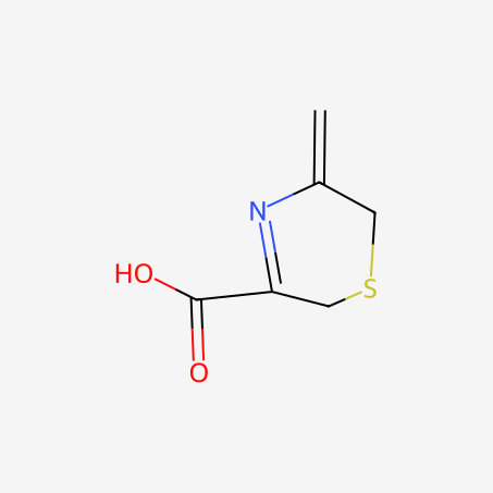 C=C1CSCC(C(=O)O)=N1